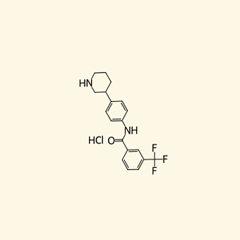 Cl.O=C(Nc1ccc(C2CCCNC2)cc1)c1cccc(C(F)(F)F)c1